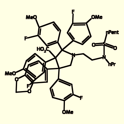 CCCCCS(=O)(=O)N(CCC)CCN1CC(c2ccc(OC)c(F)c2)(c2ccc3c(c2)OCO3)C(C(=O)O)(c2ccc(OC)c(F)c2)C1(c1ccc(OC)c(F)c1)c1ccc(OC)c(F)c1